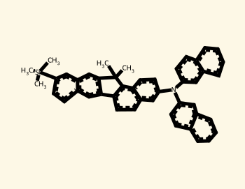 CC1(C)c2cc3cc([Si](C)(C)C)ccc3cc2-c2ccc3cc(N(c4ccc5ccccc5c4)c4ccc5ccccc5c4)ccc3c21